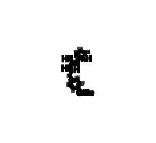 COc1ccc(CCNC(=N)NC2=NCCN2)cc1